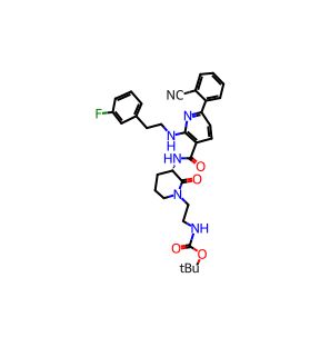 CC(C)(C)OC(=O)NCCN1CCC[C@H](NC(=O)c2ccc(-c3ccccc3C#N)nc2NCCc2cccc(F)c2)C1=O